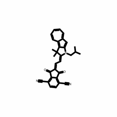 CC(C)CN1/C(=C/C=C2C(=O)c3c(C#N)ccc(C#N)c3C2=O)C(C)(C)c2c3cccccc-3cc21